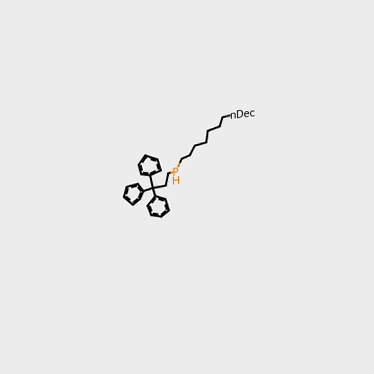 CCCCCCCCCCCCCCCCCPCCC(c1ccccc1)(c1ccccc1)c1ccccc1